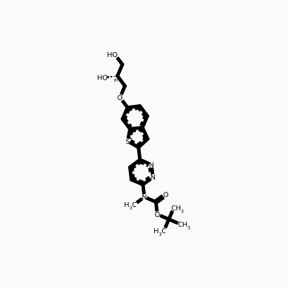 CN(C(=O)OC(C)(C)C)c1ccc(-c2cc3ccc(OC[C@H](O)CO)cc3s2)nn1